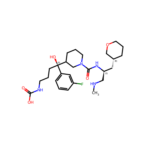 CNC[C@H](C[C@H]1CCCOC1)NC(=O)N1CCCC([C@@](O)(CCCNC(=O)O)c2cccc(F)c2)C1